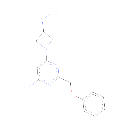 CNC1CN(c2cc(N)nc(COc3ccccc3)n2)C1